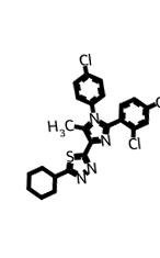 Cc1c(-c2nnc(C3CCCCC3)s2)nc(-c2ccc(Cl)cc2Cl)n1-c1ccc(Cl)cc1